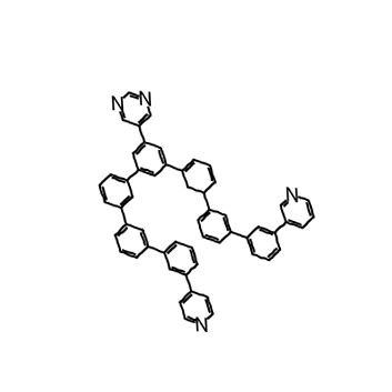 C1=CC(c2cccc(-c3cccc(-c4cccnc4)c3)c2)CC(c2cc(-c3cncnc3)cc(-c3cccc(-c4cccc(-c5cccc(-c6ccncc6)c5)c4)c3)c2)=C1